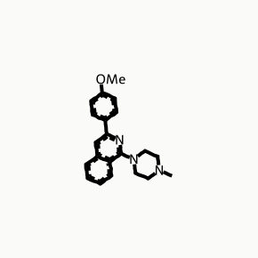 COc1ccc(-c2cc3ccccc3c(N3CCN(C)CC3)n2)cc1